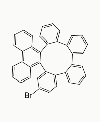 Brc1ccc2c3ccccc3c3ccccc3c3ccccc3c3c4ccccc4c4ccccc4c3c2c1